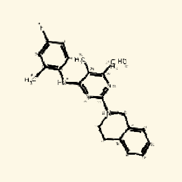 Cc1cc(F)ccc1Nc1nc(N2CCc3ccccc3C2)nc(C)c1C.Cl